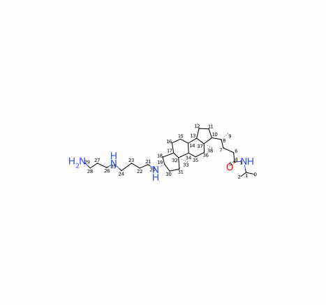 CC(C)NC(=O)CC[C@@H](C)C1CCC2C3CCC4C[C@@H](NCCCCNCCCN)CC[C@]4(C)C3CC[C@@]21C